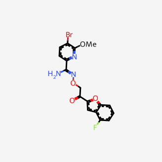 COc1nc(/C(N)=N/OCC(=O)c2cc3c(F)cccc3o2)ccc1Br